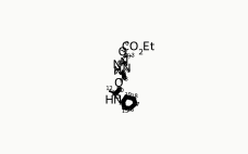 CCOC(=O)O[C@H](C)n1nnc(COC[C@H](C)NC2CCCCC2)n1